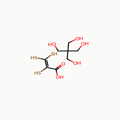 O=C(O)C(S)=C(S)S.OCC(CO)(CO)CO